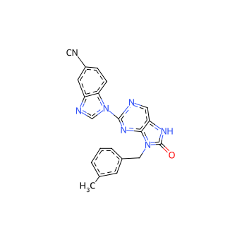 [C-]#[N+]c1ccc2c(c1)ncn2-c1ncc2[nH]c(=O)n(Cc3cccc(C)c3)c2n1